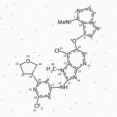 CNc1nccn2ncc(Oc3cnc4nc(Nc5cc(C6CCOC6)nc(C(F)(F)F)c5)n(C)c4c3Cl)c12